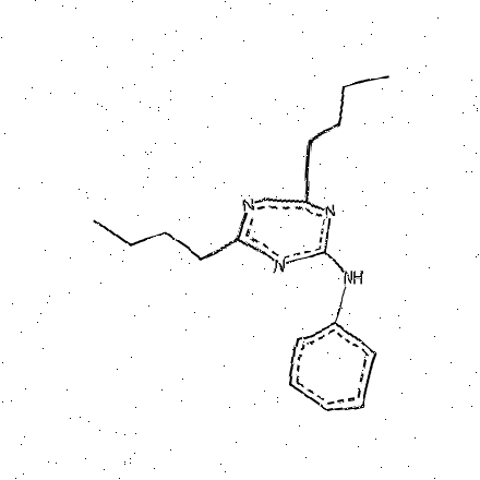 CCCCc1nc(CCCC)nc(Nc2ccccc2)n1